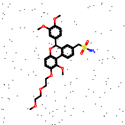 COCCOCCOc1ccc2c(c1OC)-c1ccc(CS(N)(=O)=O)cc1C(c1ccc(OC)c(OC)c1)O2